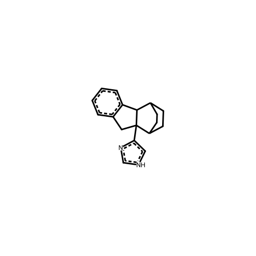 c1ccc2c(c1)CC1(c3c[nH]cn3)C3CCC(CC3)C21